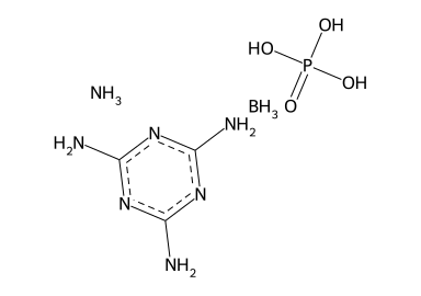 B.N.Nc1nc(N)nc(N)n1.O=P(O)(O)O